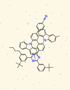 CCCCc1cc(-c2nc(-c3cccc(C(C)(C)C)c3)nc(-c3ccc(-n4c5ccccc5c5cc(C)ccc54)c(-c4cc(-c5ccc(C#N)cc5)ccc4-n4c5ccccc5c5cc(C)ccc54)c3)n2)cc(C(C)(C)C)c1